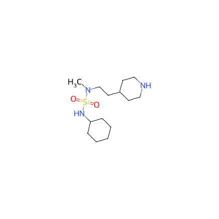 CN(CCC1CCNCC1)S(=O)(=O)NC1CCCCC1